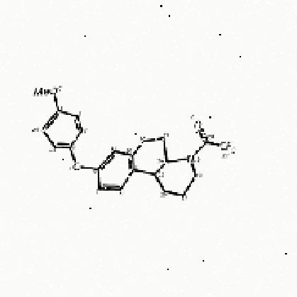 COc1ccc(Oc2ccc3c(c2)CCC2C3CCCN2C(=O)C(F)(F)F)cc1